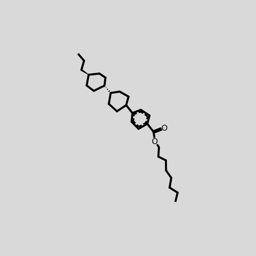 CCCCCCCCOC(=O)c1ccc(C2CCC([C@H]3CC[C@H](CCC)CC3)CC2)cc1